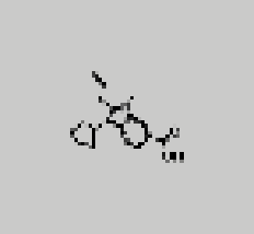 C=CCc1c(C2CCCC2)c2ccc(C(=O)O)cc2n1C